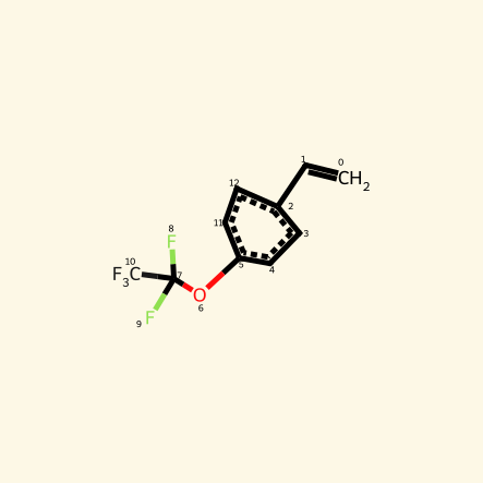 C=Cc1ccc(OC(F)(F)C(F)(F)F)cc1